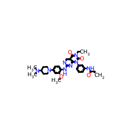 C=CC(=O)Nc1cccc(-n2c(=O)n(CC)c(=O)c3cnc(Nc4ccc(N5CCC(N(C)C)CC5)cc4OC)nc32)c1